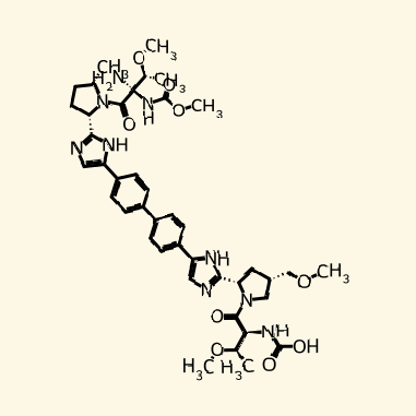 COC[C@H]1C[C@@H](c2ncc(-c3ccc(-c4ccc(-c5cnc([C@@H]6CC[C@H](C)N6C(=O)[C@](N)(NC(=O)OC)[C@@H](C)OC)[nH]5)cc4)cc3)[nH]2)N(C(=O)[C@@H](NC(=O)O)[C@@H](C)OC)C1